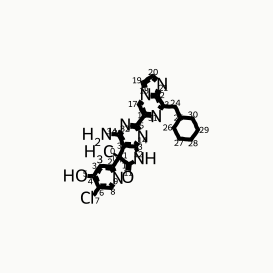 C[C@]1(c2cc(O)c(Cl)cn2)C(=O)Nc2nc(-c3cn4ccnc4c(CC4CCCCC4)n3)nc(N)c21